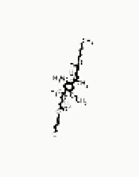 CCCCCCOC(=O)CCCC(C)(C)c1cc(OCC)c(C(C)(C)CCCC(=O)OCCCCCC)cc1OC